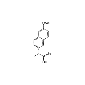 COc1ccc2cc(C(C)C(O)=[Se])ccc2c1